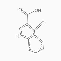 O=C(O)c1c[pH]c2ccccc2c1=O